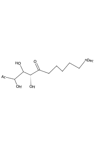 CCCCCCCCCCCCCCCC(=O)[C@H](O)C(O)C(O)C(C)=O